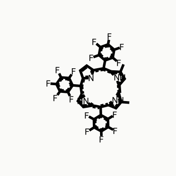 Cc1cc2[nH]c1c(-c1c(F)c(F)c(F)c(F)c1F)c1nc(c(-c3c(F)c(F)c(F)c(F)c3F)c3ccc([nH]3)c(-c3c(F)c(F)c(F)c(F)c3F)c3cc(C)c2[nH]3)C=C1